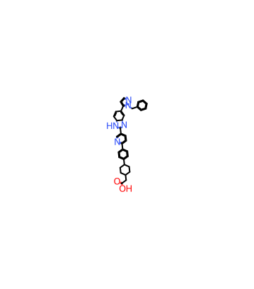 O=C(O)CC1CCC(c2ccc(-c3ccc(C4=NC5C=C(c6ccnn6Cc6ccccc6)C=CC5N4)cn3)cc2)CC1